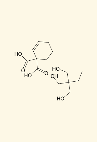 CCC(CO)(CO)CO.O=C(O)C1(C(=O)O)C=CCCC1